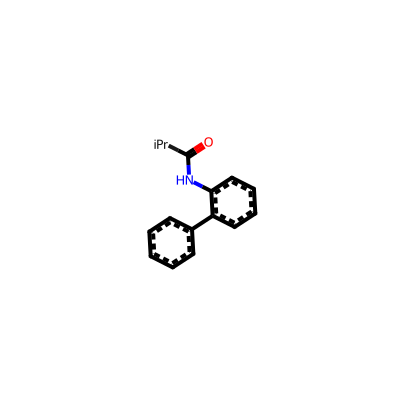 CC(C)C(=O)Nc1ccccc1-c1ccccc1